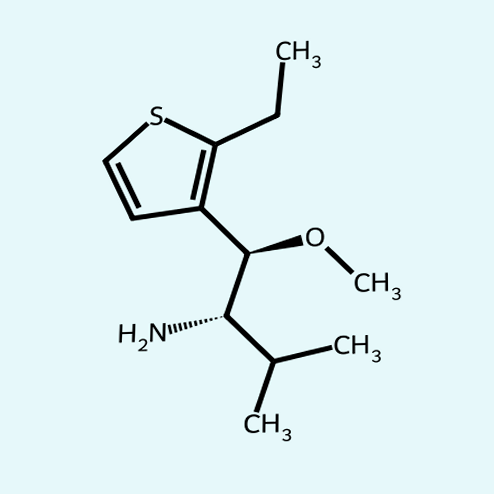 CCc1sccc1[C@@H](OC)[C@@H](N)C(C)C